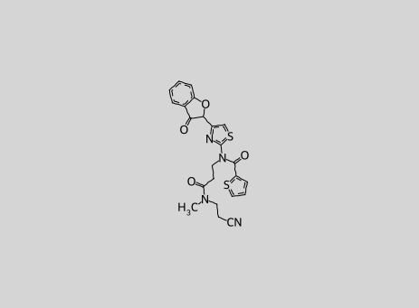 CN(CCC#N)C(=O)CCN(C(=O)c1cccs1)c1nc(C2Oc3ccccc3C2=O)cs1